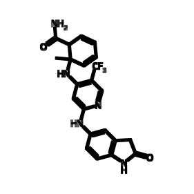 CC1(Nc2cc(Nc3ccc4c(c3)CC(=O)N4)ncc2C(F)(F)F)C=CC=CC1C(N)=O